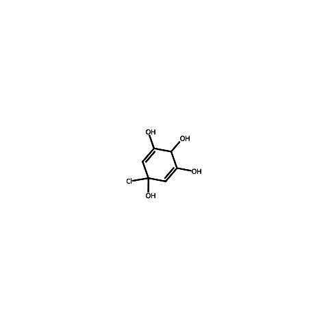 OC1=CC(O)(Cl)C=C(O)C1O